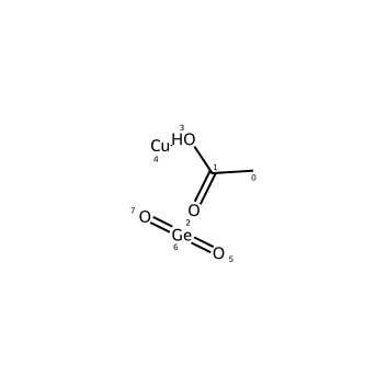 CC(=O)O.[Cu].[O]=[Ge]=[O]